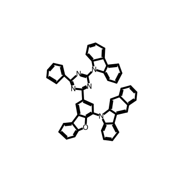 c1ccc(-c2nc(-c3cc(-n4c5ccccc5c5cc6ccccc6cc54)c4oc5ccccc5c4c3)nc(-n3c4ccccc4c4ccccc43)n2)cc1